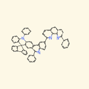 c1ccc(-c2ccc3ccc4ccc(-c5ccc6nc(-c7ccccc7)c7cc8c(cc7c6c5)N(c5ccccc5)c5ccccc5C85c6ccccc6-c6ccccc65)nc4c3n2)cc1